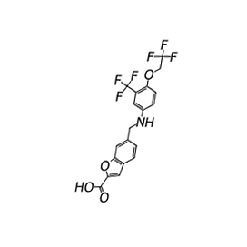 O=C(O)c1cc2ccc(CNc3ccc(OCC(F)(F)F)c(C(F)(F)F)c3)cc2o1